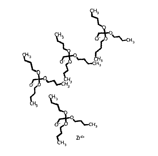 CCCCOC(C[O-])(OCCCC)OCCCC.CCCCOC(C[O-])(OCCCC)OCCCC.CCCCOC(C[O-])(OCCCC)OCCCC.CCCCOC(C[O-])(OCCCC)OCCCC.[Zr+4]